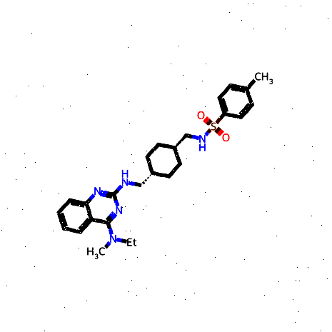 CCN(C)c1nc(NC[C@H]2CC[C@H](CNS(=O)(=O)c3ccc(C)cc3)CC2)nc2ccccc12